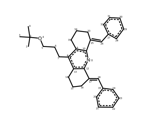 CC(C)(C)OCCCc1c2c(nc3c1CCCC3=Cc1ccccc1)C(=Cc1ccccc1)CCC2